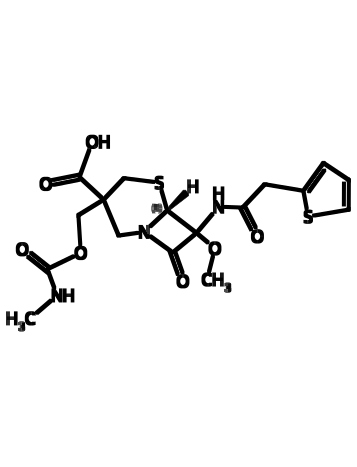 CNC(=O)OCC1(C(=O)O)CS[C@H]2N(C1)C(=O)C2(NC(=O)Cc1cccs1)OC